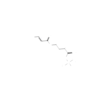 CCOC(=O)/C=C/C(=O)OCCCC(=O)O[Si](CC)(CC)CC